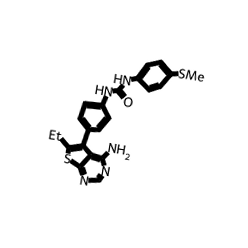 CCc1sc2ncnc(N)c2c1-c1ccc(NC(=O)Nc2ccc(SC)cc2)cc1